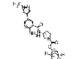 Cn1cc(-c2cnc(N)c(C(=O)N[C@@H]3CCN(C(=O)O[C@H]4C[C@@H]5CC[C@H]4C5)C3)c2)cn1